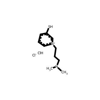 CN(C)CCC[n+]1cccc(S)c1.Cl.[Cl-]